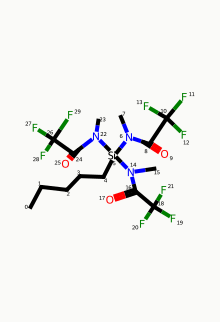 CCCCC[Si](N(C)C(=O)C(F)(F)F)(N(C)C(=O)C(F)(F)F)N(C)C(=O)C(F)(F)F